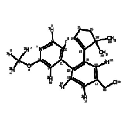 [3H]c1nc(OC([3H])([3H])[3H])c([3H])c(-c2c([3H])c([3H])c(CCl)c([3H])c2C2=CCCC2(C)C)c1F